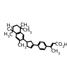 CC(=CC(=O)O)c1ccc(C2=CCC(c3cc4c(cc3C)C(C)(C)CCC4(C)C)C2)cc1